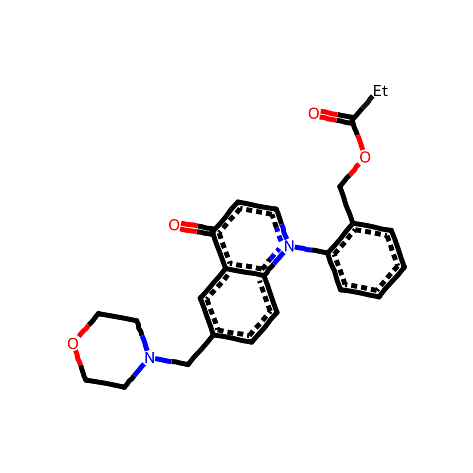 CCC(=O)OCc1ccccc1-n1ccc(=O)c2cc(CN3CCOCC3)ccc21